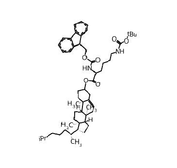 CC(C)CCC[C@@H](C)[C@H]1CC[C@@H]2[C@]1(C)CC[C@H]1[C@@]2(C)CC=C2CC(OC(=O)C(CCCCNC(=O)OC(C)(C)C)NC(=O)OCC3c4ccccc4-c4ccccc43)CC[C@@]21C